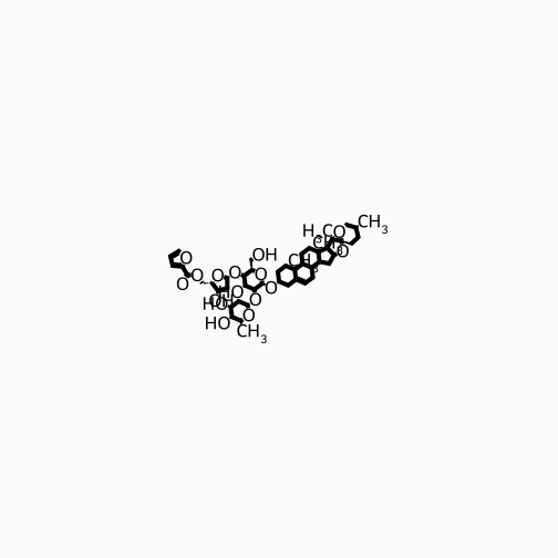 C[C@@H]1CC[C@@]2(OC1)OC1CC3C4CC=C5C[C@@H](O[C@@H]6O[C@H](CO)C(O[C@H]7C[C@@H](O)[C@H](COC(=O)c8ccco8)O7)[C@H](O)C6O[C@H]6C[C@H](O)[C@@H](O)[C@H](C)O6)CC[C@]5(C)C4CC[C@]3(C)C1[C@@H]2C